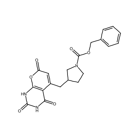 O=C(OCc1ccccc1)N1CCC(Cc2cc(=O)oc3[nH]c(=O)[nH]c(=O)c23)C1